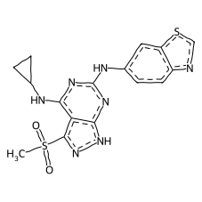 CS(=O)(=O)c1n[nH]c2nc(Nc3ccc4ncsc4c3)nc(NC3CC3)c12